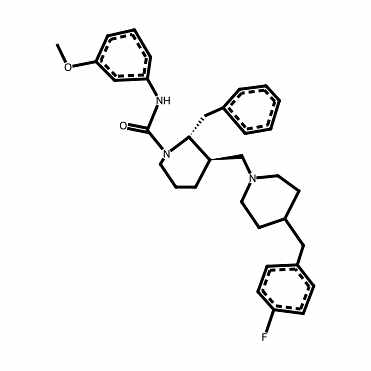 COc1cccc(NC(=O)N2CCC[C@H](CN3CCC(Cc4ccc(F)cc4)CC3)[C@H]2Cc2ccccc2)c1